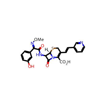 CO/N=C(\C(=O)NC1C(=O)N2C(C(=O)O)=C(/C=C/c3cccnc3)CS[C@H]12)c1cccc(O)c1